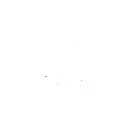 C[C@H]1Cn2c(nc3c(N4CC5CC4C5)nc(-c4cnc(N)nc4)nc32)C(C)(C)O1